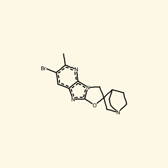 Cc1nc2c(cc1Br)nc1n2CC2(CN3CCC2CC3)O1